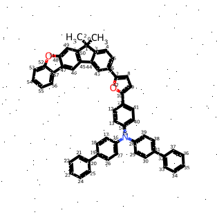 CC1(C)c2ccc(-c3ccc(-c4ccc(N(c5ccc(-c6ccccc6)cc5)c5ccc(-c6ccccc6)cc5)cc4)o3)cc2-c2cc3c(cc21)oc1ccccc13